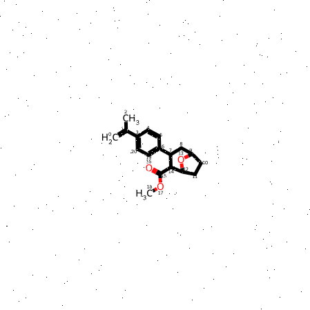 C=C(C)c1ccc(C2CC3CCC(O3)C2C(=O)OC)cc1